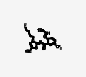 CC(C)(C)NOc1ccc(C(F)(F)F)cc1C(=O)/N=c1\sc(C(C)(C)C)nn1CCCCF